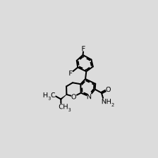 CC(C)[C@H]1CCc2c(-c3ccc(F)cc3F)cc(C(N)=O)nc2O1